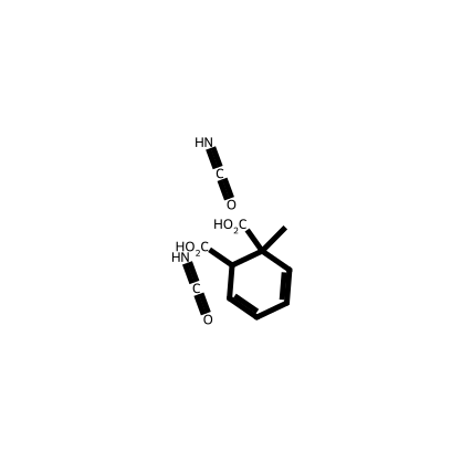 CC1(C(=O)O)C=CC=CC1C(=O)O.N=C=O.N=C=O